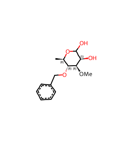 CO[C@H]1[C@H](OCc2ccccc2)[C@@H](C)OC(O)[C@H]1O